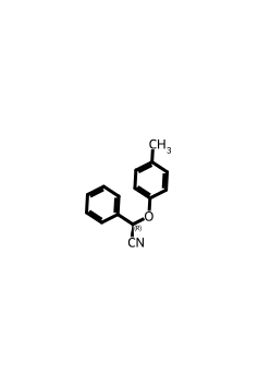 Cc1ccc(O[C@@H](C#N)c2ccccc2)cc1